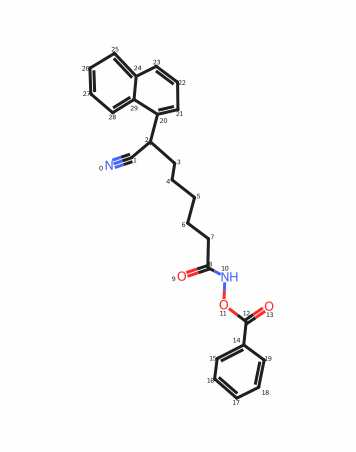 N#C[C](CCCCCC(=O)NOC(=O)c1ccccc1)c1cccc2ccccc12